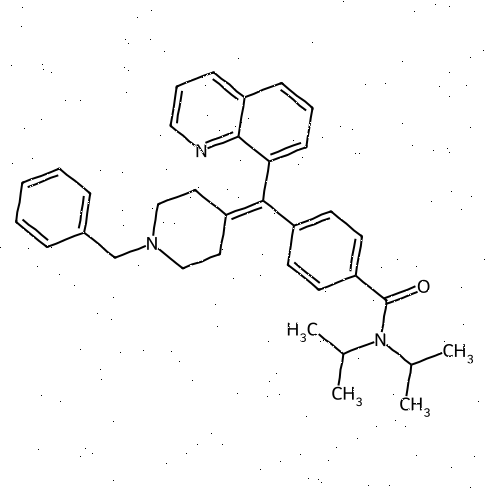 CC(C)N(C(=O)c1ccc(C(=C2CCN(Cc3ccccc3)CC2)c2cccc3cccnc23)cc1)C(C)C